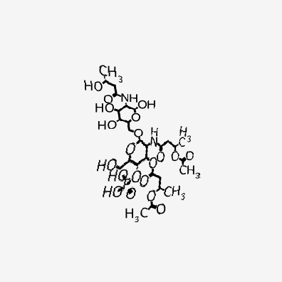 CC(=O)O[C@H](C)CC(=O)N[C@H]1C(OC(=O)C[C@@H](C)OC(C)=O)[C@H](OP(=O)(O)O)C(CO)O[C@H]1OCC1O[C@H](O)[C@@H](NC(=O)C[C@@H](C)O)C(O)[C@@H]1O